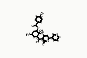 CC(C)C1CC(OC(=O)c2ccc(C#N)cc2)C2(C)Oc3cc(-c4cccnc4)oc(=O)c3C(O)C2C1